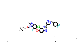 Cc1nc2ccc(Oc3ccc4ncc(-c5cnn(CC6CCC(F)(F)CC6)c5)nc4c3Cl)c(F)c2n1COCC[Si](C)(C)C